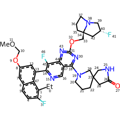 CCc1c(F)ccc2cc(OCOC)cc(-c3ncc4c(N5CCCC6(CNC(=O)C6)C5)nc(OC[C@@]56CCCN5C[C@H](F)C6)nc4c3F)c12